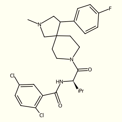 CC(C)[C@@H](NC(=O)c1cc(Cl)ccc1Cl)C(=O)N1CCC2(CC1)CN(C)CC2c1ccc(F)cc1